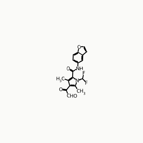 Cc1c(C(=O)C=O)c(C)n(C(F)F)c1C(=O)Nc1ccc2occc2c1